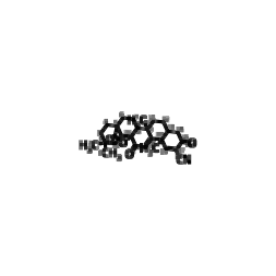 CC1(C)CCC23CCC4C5(C)CCC6CC(=O)C(C#N)=CC6(C)C5=CC(=O)C4(OC2=O)C3C1